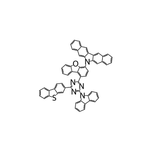 c1ccc2cc3c(cc2c1)c1cc2ccccc2cc1n3-c1ccc(-c2nc(-c3ccc4c(c3)sc3ccccc34)nc(-n3c4ccccc4c4ccccc43)n2)c2c1oc1ccccc12